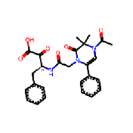 CC(=O)N1C=C(c2ccccc2)N(CC(=O)N[C@@H](Cc2ccccc2)C(=O)C(=O)O)C(=O)C1(C)C